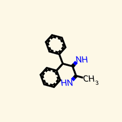 CC(=N)C(=N)C(c1ccccc1)c1ccccc1